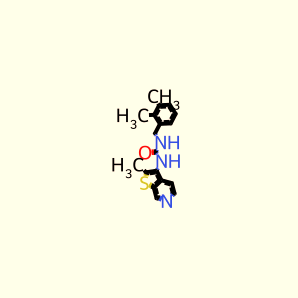 Cc1cccc(CNC(=O)Nc2c(C)sc3cnccc23)c1C